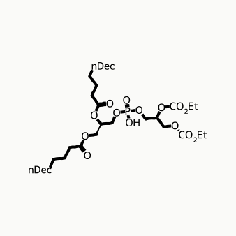 CCCCCCCCCCCCCC(=O)OC[C@H](COP(=O)(O)OCC(COC(=O)OCC)OC(=O)OCC)OC(=O)CCCCCCCCCCCCC